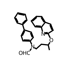 CC(CCN(C=O)c1ccc(-c2ccccc2)cc1)Oc1ccc2ccccc2n1